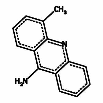 Cc1cccc2c(N)c3ccccc3nc12